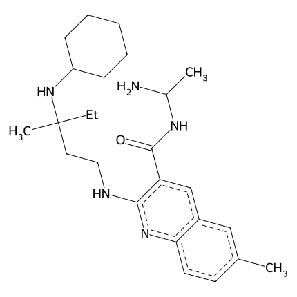 CCC(C)(CCNc1nc2ccc(C)cc2cc1C(=O)NC(C)N)NC1CCCCC1